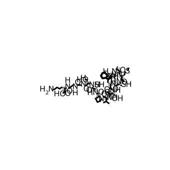 CSCC[C@H](NC(=O)[C@H](C)N)C(=O)N[C@@H](CS)C(=O)N[C@@H](Cc1c[nH]c2ccccc12)C(=O)N[C@@H](CO)C(=O)N[C@H](C(=O)N1CCC[C@H]1C(=O)N[C@@H](CS)C(=O)N[C@@H](CO)C(=O)NCC(=O)NCC(=O)N[C@@H](CCCCN)C(=O)O)C(C)C